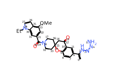 C=C(N/N=N\N)c1ccc2c(c1)C(=O)CC1(CCN(C(=O)c3cc(OC)c4ccn(CC)c4c3)CC1)O2